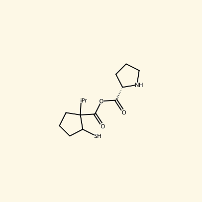 CC(C)C1(C(=O)OC(=O)[C@@H]2CCCN2)CCCC1S